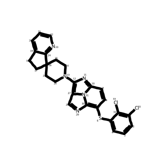 Clc1cccc(Sc2ccc3nc(N4CCC5(CCc6cccnc65)CC4)c4cnc2n34)c1Cl